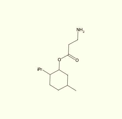 CC1CCC(C(C)C)C(OC(=O)CCN)C1